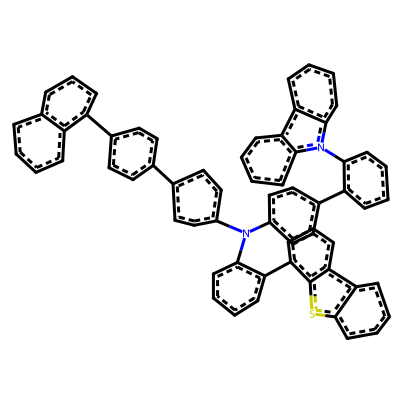 c1ccc(N(c2ccc(-c3ccc(-c4cccc5ccccc45)cc3)cc2)c2ccc(-c3ccccc3-n3c4ccccc4c4ccccc43)cc2)c(-c2cccc3c2sc2ccccc23)c1